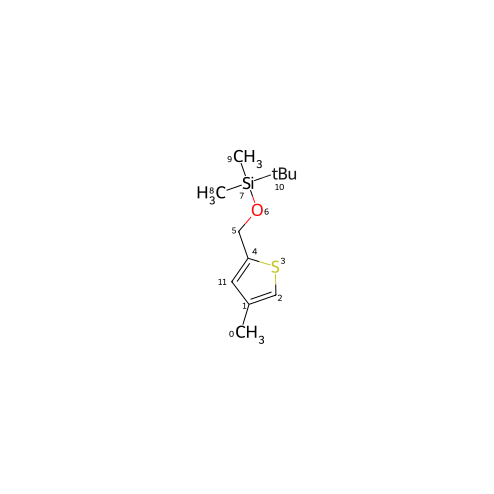 Cc1csc(CO[Si](C)(C)C(C)(C)C)c1